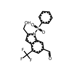 O=Cc1cc(C(F)(F)F)c2cc(CO)n(S(=O)(=O)c3ccccc3)c2c1